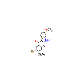 COc1cc2c(cc1Br)C(=O)c1c([nH]c3cc(OC(F)(F)F)ccc13)C2(C)C